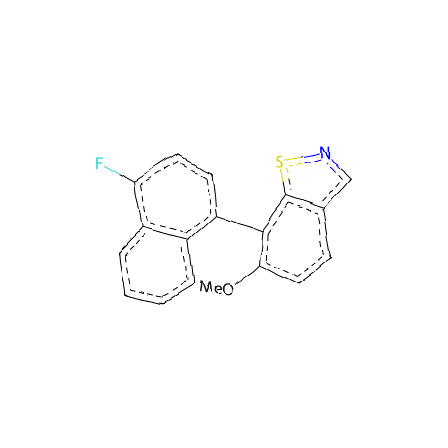 COc1ccc2cnsc2c1-c1ccc(F)c2ccccc12